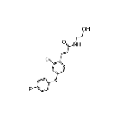 O=C(/C=C/c1ccc(Sc2ccc(F)cc2)cc1Cl)NCCO